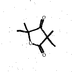 CC1(C)OC(=O)C(C)(C)C1=O